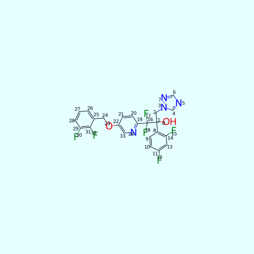 OC(Cn1cncn1)(c1ccc(F)cc1F)C(F)(F)c1ccc(OCc2cccc(F)c2F)cn1